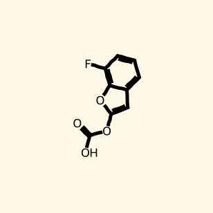 O=C(O)Oc1cc2cccc(F)c2o1